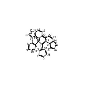 c1ccc(-c2c(-c3ccccc3)c3c4ccsc4ccc3c3ccc4sccc4c23)cc1